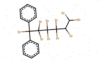 BrC(Br)C(Br)C(Br)(Br)C(Br)(Br)C(Br)(Br)C(Br)(c1ccccc1)c1ccccc1